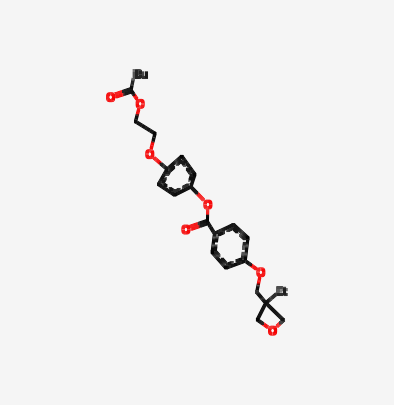 CCC(C)C(=O)OCCOc1ccc(OC(=O)c2ccc(OCC3(CC)COC3)cc2)cc1